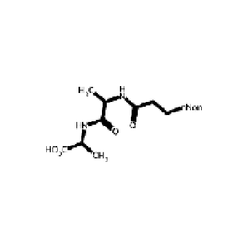 CCCCCCCCCCCC(=O)NC(C)C(=O)NC(C)C(=O)O